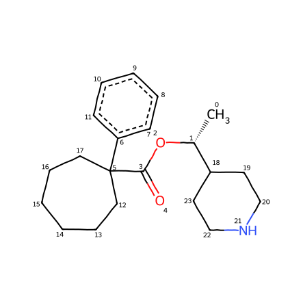 C[C@@H](OC(=O)C1(c2ccccc2)CCCCCC1)C1CCNCC1